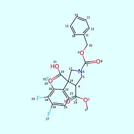 COC(=O)C1CN(C(=O)OCc2ccccc2)CC1(C(=O)O)c1c(F)cc(F)c(F)c1F